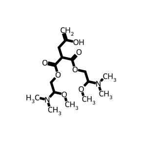 C=C(O)CC(C(=O)OCC(OC)N(C)C)C(=O)OCC(OC)N(C)C